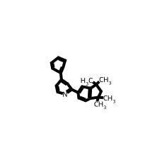 CC1(C)CC(C)(C)c2cc(-c3cc(-c4ccccc4)ccn3)ccc21